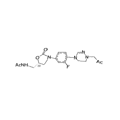 CC(=O)CN1CCN(c2ccc(N3C[C@H](CNC(C)=O)OC3=O)cc2F)C=N1